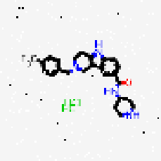 Cl.Cl.O=C(NC1CCNCC1)c1ccc2[nH]c3c(c2c1)CN(Cc1ccc(C(F)(F)F)cc1)CC3